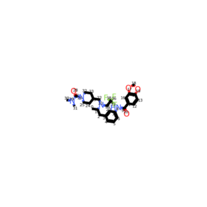 CC(Cc1cccc(NC(=O)c2ccc3c(c2)OCO3)c1)N(CC1CCN(C(=O)N(C)C)CC1)CC(F)(F)F